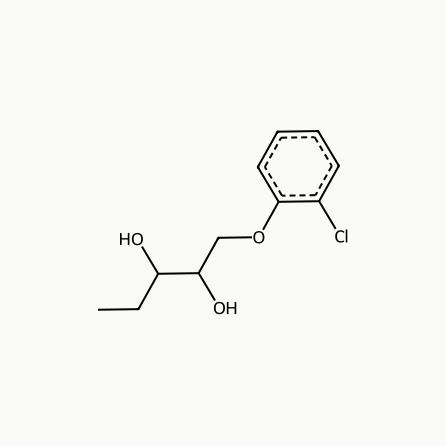 CCC(O)C(O)COc1ccccc1Cl